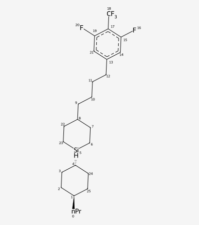 CCC[C@H]1CC[C@H]([SiH]2CCC(CCCCc3cc(F)c(C(F)(F)F)c(F)c3)CC2)CC1